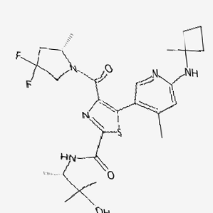 Cc1cc(NC2(C)CCC2)ncc1-c1sc(C(=O)N[C@@H](C)C(C)(C)O)nc1C(=O)N1CC(F)(F)C[C@@H]1C